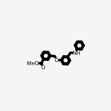 COC(=O)c1cccc(COc2cccc(CNc3ccccc3)c2)c1